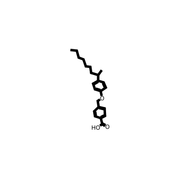 CCCCCCCC(C)c1ccc(OCc2ccc(C(=O)O)cc2)cc1